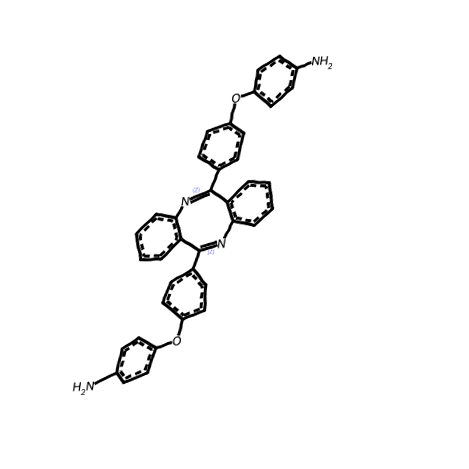 Nc1ccc(Oc2ccc(/C3=N/c4ccccc4/C(c4ccc(Oc5ccc(N)cc5)cc4)=N\c4ccccc43)cc2)cc1